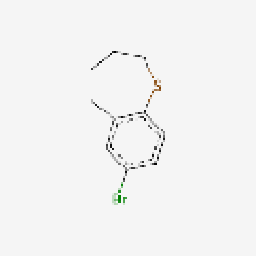 Brc1ccc2c(c1)CCCCS2